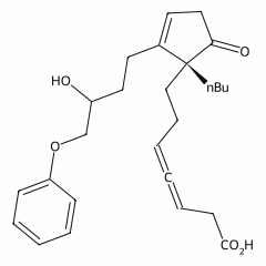 CCCC[C@]1(CCC=C=CCC(=O)O)C(=O)CC=C1CCC(O)COc1ccccc1